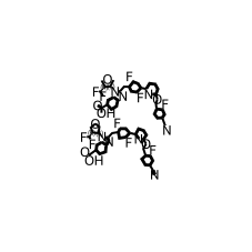 N#Cc1ccc(COc2cccc(-c3cc(F)c(Cc4nc5ccc(C(=O)O)cc5n4[C@@H]4COC[C@@H]4C(F)F)cc3F)n2)c(F)c1.N#Cc1ccc(COc2cccc(-c3cc(F)c(Cc4nc5ccc(C(=O)O)cc5n4[C@@H]4COC[C@@H]4C(F)F)cc3F)n2)c(F)c1